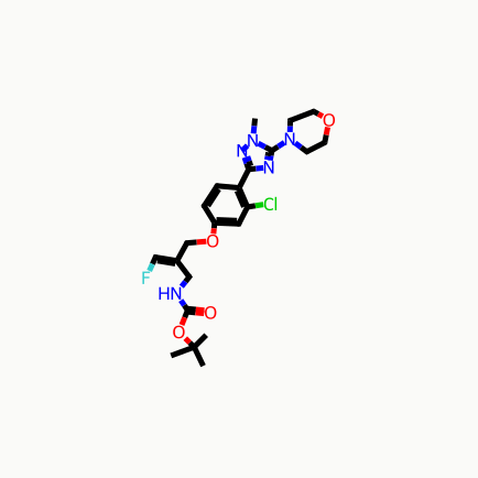 Cn1nc(-c2ccc(OC/C(=C/F)CNC(=O)OC(C)(C)C)cc2Cl)nc1N1CCOCC1